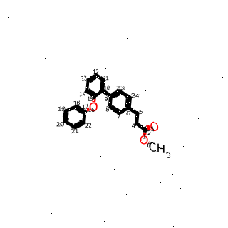 COC(=O)CCc1ccc(-c2ccccc2Oc2ccccc2)cc1